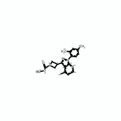 Cc1ccc(-n2nc(C3CN(C(=O)OC(C)(C)C)C3)c3c(I)ccnc32)c(C)c1